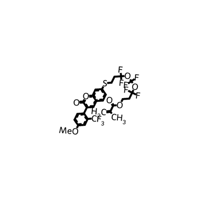 C=C(C)C(=O)OCCC(F)(F)OC(F)(F)OC(F)(F)CCSc1ccc2cc(-c3ccc(OC)cc3C(F)(F)F)c(=O)oc2c1